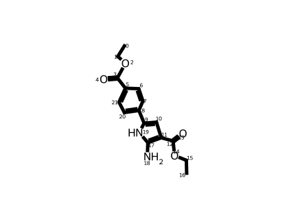 CCOC(=O)c1ccc(-c2cc(C(=O)OCC)c(N)[nH]2)cc1